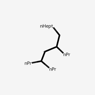 CCCCCCCCC([CH]C(CCC)CCC)CCC